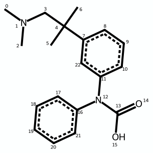 CN(C)CC(C)(C)c1cccc(N(C(=O)O)c2ccccc2)c1